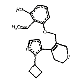 C=Cc1c(O)cccc1OCC1=C(c2ccnn2C2CCC2)CCOC1